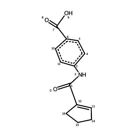 O=C(Nc1ccc(C(=O)O)cc1)C1=CCCC1